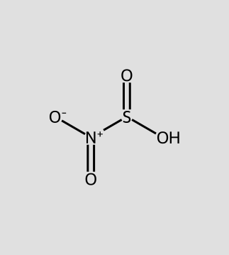 O=[N+]([O-])S(=O)O